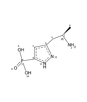 C[C@@H](N)Cc1cc(P(=O)(O)O)[nH]n1